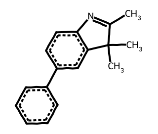 CC1=Nc2ccc(-c3ccccc3)cc2C1(C)C